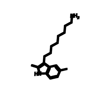 Cc1ccc2[nH]c(C)c(CCCCCCCCN)c2c1